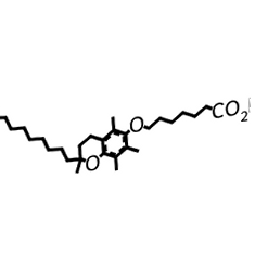 Cc1c(C)c2c(c(C)c1OCCCCCCC(=O)O)CCC(C)(CCCCCCCCC#N)O2